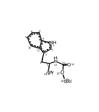 CCCC(Cc1c[nH]c2ccccc12)NC(=O)OC(C)(C)C